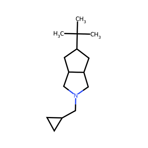 CC(C)(C)C1CC2CN(CC3CC3)CC2C1